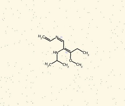 C=C/N=C\C(NC(C)C)=C(/CC)OC